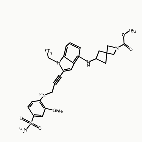 COc1cc(S(N)(=O)=O)ccc1NCC#Cc1cc2c(NC3CC4(C3)CN(C(=O)OC(C)(C)C)C4)cccc2n1CC(F)(F)F